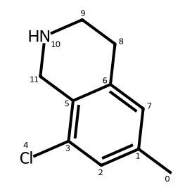 Cc1cc(Cl)c2c(c1)CCNC2